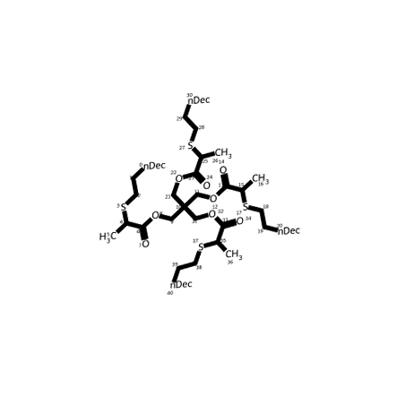 CCCCCCCCCCCCSC(C)C(=O)OCC(COC(=O)C(C)SCCCCCCCCCCCC)(COC(=O)C(C)SCCCCCCCCCCCC)COC(=O)C(C)SCCCCCCCCCCCC